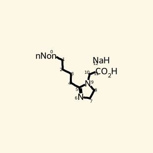 CCCCCCCCCCCCCC1=NCCN1CC(=O)O.[NaH]